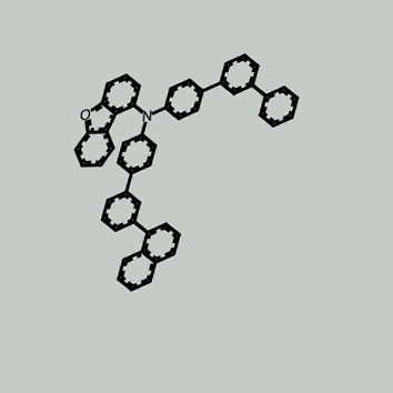 c1ccc(-c2cccc(-c3ccc(N(c4ccc(-c5cccc(-c6cccc7ccccc67)c5)cc4)c4cccc5oc6ccccc6c45)cc3)c2)cc1